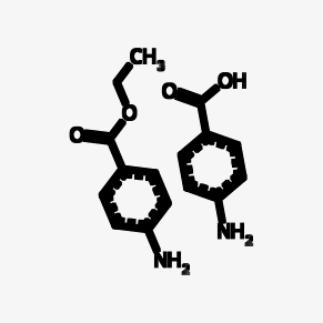 CCOC(=O)c1ccc(N)cc1.Nc1ccc(C(=O)O)cc1